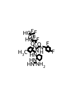 Cc1ccc2nc(C(=O)NCc3ccc(F)cc3F)nc(NC3CCCCC3NC(=N)N)c2c1.O=C(O)C(F)(F)F.O=C(O)C(F)(F)F